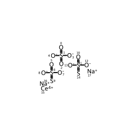 O=S(=O)([O-])[O-].O=S([O-])([O-])=S.O=S([O-])([O-])=S.[Ce+4].[Na+].[Na+]